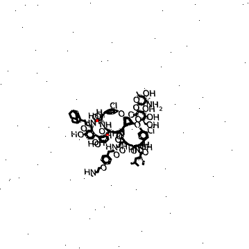 CC[C@H](CC(C)C)C(=O)N[C@H]1C(=O)C[C@@H](CC(=O)NC(=O)Cc2ccc(OCCNC)cc2)C(=O)N[C@H]2C(=O)C[C@H]3C(=O)N[C@H](C(=O)N[C@H](C(=O)CC4C5CC6CC(C5)CC4C6)c4cc(O)cc(O)c4-c4cc3ccc4O)[C@H](O)c3ccc(c(Cl)c3)Oc3cc2cc(c3O[C@@H]2O[C@H](CO)[C@@H](O)[C@H](O)[C@H]2O[C@H]2C[C@](C)(N)[C@H](O)[C@H](C)O2)Oc2ccc(cc2Cl)[C@H]1O